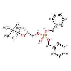 CC(C)(C)[Si](C)(C)OCCOP(=O)(OCc1ccccc1)OCc1ccccc1